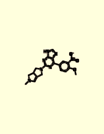 COc1ccc(-c2nc(N3CC4=CN(C)CC4C3)nc3[nH]cnc23)cc1[N+](=O)[O-]